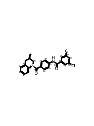 CC1Cc2ccccc2N(C(=O)c2ccc(NC(=O)c3cc(Cl)cc(Cl)c3)cc2)C1